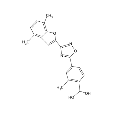 Cc1cc(-c2nc(-c3cc4c(C)ccc(C)c4o3)no2)ccc1C(O)O